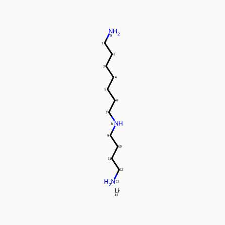 NCCCCCCCNCCCCN.[Li]